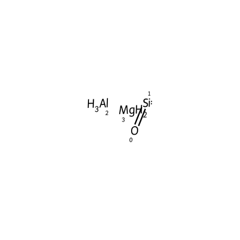 O=[Si].[AlH3].[MgH2]